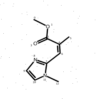 COC(=O)/C(C)=C\c1nccn1C